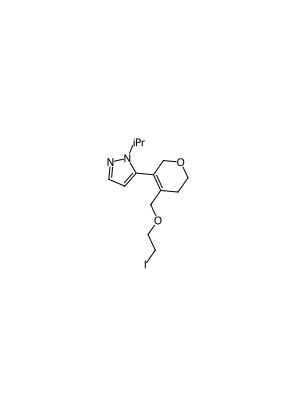 CC(C)n1nccc1C1=C(COCCI)CCOC1